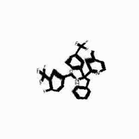 Cc1ccnc(C(Cc2ccccc2)(NC(=O)c2ccc(F)c(C(F)(F)F)c2)c2cccc(C(F)(F)F)c2)c1